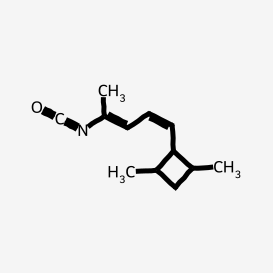 C/C(=C\C=C/C1C(C)CC1C)N=C=O